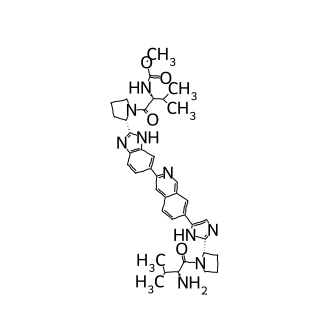 COC(=O)N[C@H](C(=O)N1CCC[C@H]1c1nc2ccc(-c3cc4ccc(-c5cnc([C@@H]6CCCN6C(=O)[C@@H](N)C(C)C)[nH]5)cc4cn3)cc2[nH]1)C(C)C